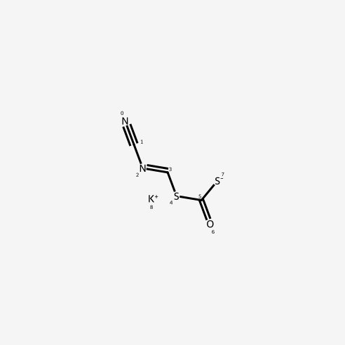 N#CN=CSC(=O)[S-].[K+]